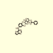 O=C(O[C@H]1CO[C@H]2[C@@H]1OC[C@@H]2Oc1ccc(Nc2ncnc3ccsc23)cc1Cl)c1ccccc1